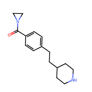 O=C(c1ccc(CCC2CCNCC2)cc1)N1CC1